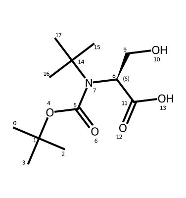 CC(C)(C)OC(=O)N([C@@H](CO)C(=O)O)C(C)(C)C